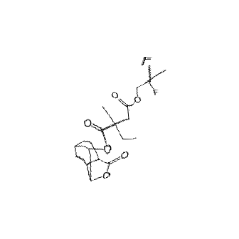 CCC(C)(CC(=O)OCC(C)(F)F)C(=O)OC1C2CC3C(=O)OC1C3C2